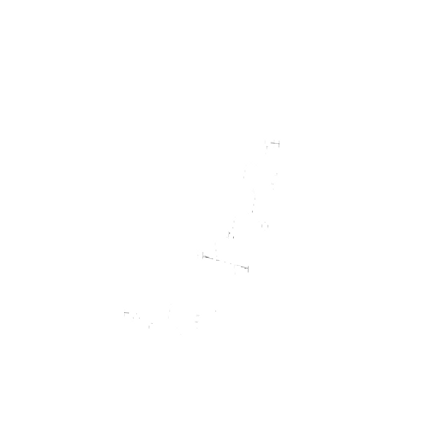 COc1ccc(S[C@@H]2C[C@@H]3CN(CC(=O)c4ccc(O)cc4)C[C@@H]3C2)cc1